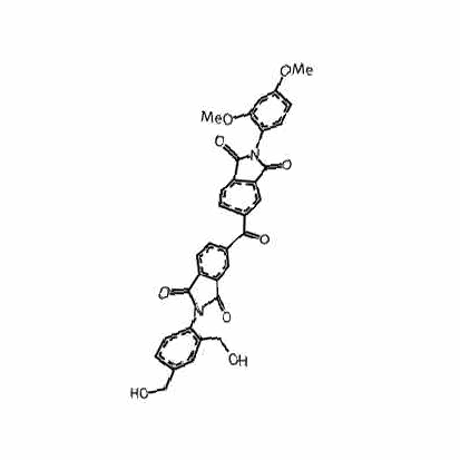 COc1ccc(N2C(=O)c3ccc(C(=O)c4ccc5c(c4)C(=O)N(c4ccc(CO)cc4CO)C5=O)cc3C2=O)c(OC)c1